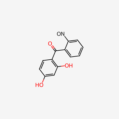 O=Nc1ccccc1C(=O)c1ccc(O)cc1O